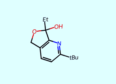 CCC1(O)OCc2ccc(C(C)(C)C)nc21